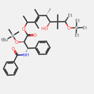 CCC(O[Si](CC)(CC)CC)C(C)(C)[C@@H](O)[C@@H](C)/C(C)=C(\C)C(C)OC(=O)[C@H](O[Si](C)(C)C(C)(C)C)[C@@H](NC(=O)c1ccccc1)c1ccccc1